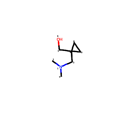 CN(C)CC1(CO)CC1